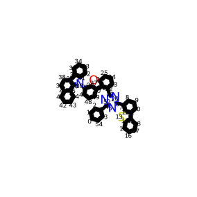 c1ccc(-c2nc(-c3cccc4c3sc3ccccc34)nc(-c3cccc4oc5c(-n6c7ccccc7c7ccc8ccccc8c76)cccc5c34)n2)cc1